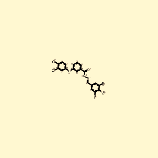 O=C(N/N=C/c1cc(Br)c(O)c(Br)c1)c1cccc(Oc2ccc(Cl)c(Cl)c2)c1